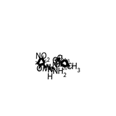 COc1ccc([N+](=O)[O-])cc1C=NNC(N)=NOS(=O)(=O)c1ccc(C)cc1